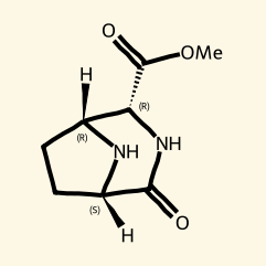 COC(=O)[C@@H]1NC(=O)[C@@H]2CC[C@H]1N2